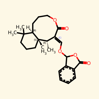 C[C@H]1/C(=C\OC2OC(=O)c3ccccc32)C(=O)OCCC[C@@H]2C(C)(C)CCC[C@]21C